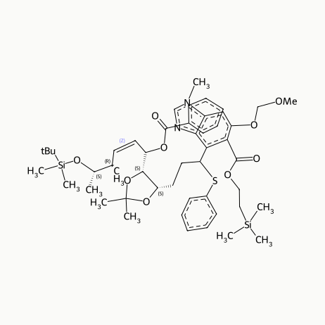 COCOc1cc2c(ncn2C)c(C(CC[C@@H]2OC(C)(C)O[C@@H]2C(/C=C\[C@@H](C)[C@H](C)O[Si](C)(C)C(C)(C)C)OC(=O)c2ccccc2)Sc2ccccc2)c1C(=O)OCC[Si](C)(C)C